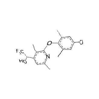 Cc1cc(C(O)C(F)(F)F)c(C)c(Oc2c(C)cc(Cl)cc2C)n1